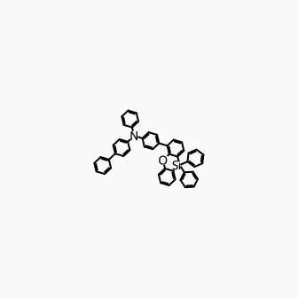 c1ccc(-c2ccc(N(c3ccccc3)c3ccc(-c4cccc5c4Oc4ccccc4[Si]5(c4ccccc4)c4ccccc4)cc3)cc2)cc1